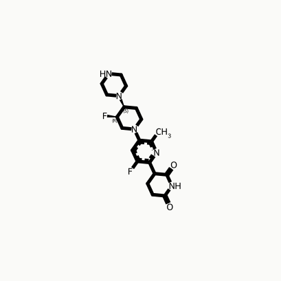 Cc1nc(C2CCC(=O)NC2=O)c(F)cc1N1CC[C@H](N2CCNCC2)[C@H](F)C1